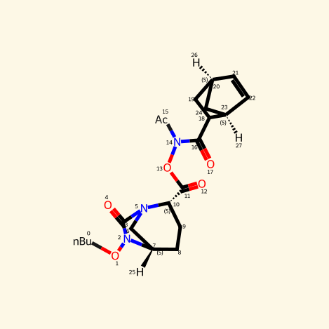 CCCCON1C(=O)N2C[C@@H]1CC[C@H]2C(=O)ON(C(C)=O)C(=O)C1C[C@H]2C=C[C@@H]1C2